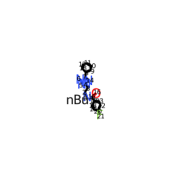 CCCCN(CCn1nnc(-c2ccccc2)n1)C(=O)c1ccc(F)cc1